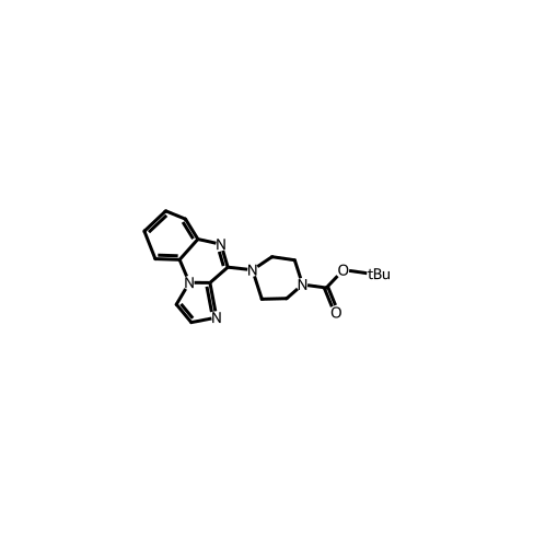 CC(C)(C)OC(=O)N1CCN(c2nc3ccccc3n3ccnc23)CC1